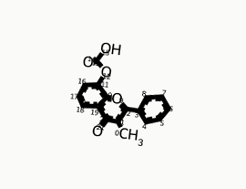 Cc1c(-c2ccccc2)oc2c(OC(=O)O)cccc2c1=O